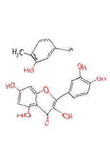 Cc1ccc(C(C)C)cc1O.O=c1c(O)c(-c2ccc(O)c(O)c2)oc2cc(O)cc(O)c12